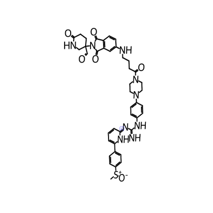 C[S+]([O-])c1ccc(-c2ccc/c(=N/C(=N)Nc3ccc(N4CCN(C(=O)CCCNc5ccc6c(c5)C(=O)N(C5(C=O)CCC(=O)NC5)C6=O)CC4)cc3)[nH]2)cc1